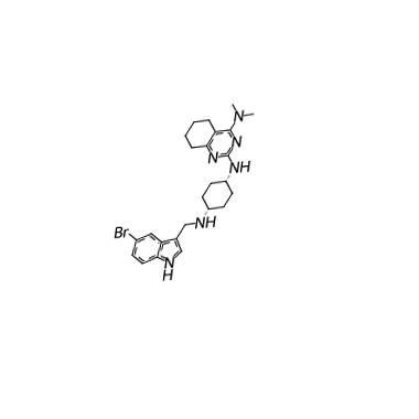 CN(C)c1nc(N[C@H]2CC[C@@H](NCc3c[nH]c4ccc(Br)cc34)CC2)nc2c1CCCC2